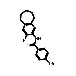 CC(C)(C)c1ccc(C(=O)Nc2cc3c(cc2F)CCCCC3)cc1